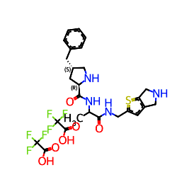 CC(NC(=O)[C@H]1C[C@H](Cc2ccccc2)CN1)C(=O)NCc1cc2c(s1)CNC2.O=C(O)C(F)(F)F.O=C(O)C(F)(F)F